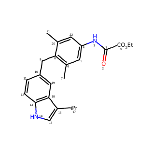 CCOC(=O)C(=O)Nc1cc(C)c(Cc2ccc3[nH]cc(C(C)C)c3c2)c(C)c1